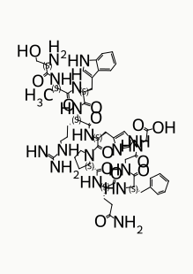 C[C@H](NC(=O)[C@@H](N)CO)C(=O)N[C@@H](Cc1c[nH]c2ccccc12)C(=O)N[C@@H](CCCNC(=N)N)C(=O)N[C@@H](Cc1c[nH]cn1)C(=O)N1CCC[C@H]1C(=O)N[C@@H](CCC(N)=O)C(=O)N[C@@H](Cc1ccccc1)C(=O)NCC(=O)NCC(=O)O